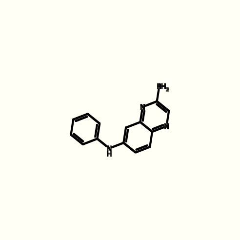 Bc1cnc2ccc(Nc3ccccc3)cc2n1